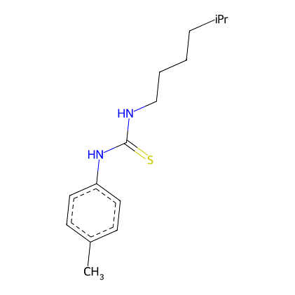 Cc1ccc(NC(=S)NCCCCC(C)C)cc1